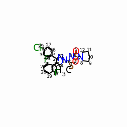 CS/C(=N\S(=O)(=O)N1CCCCC1)N1CC(c2c(F)cccc2F)C(c2ccc(Cl)cc2)=N1